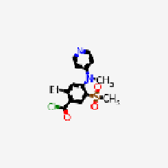 CCc1cc(N(C)c2ccncc2)c(S(C)(=O)=O)cc1C(=O)Cl